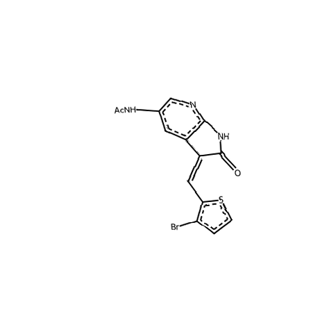 CC(=O)Nc1cnc2c(c1)C(=Cc1sccc1Br)C(=O)N2